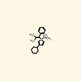 CC(C)=C(c1ccccc1)S1(N(C)C)C=CC(C2CCCCC2)=C1